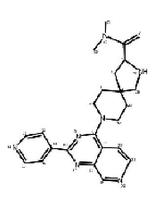 C=C(C1CC2(CCN(c3nc(-c4ccncc4)nc4cnccc34)CC2)CN1)N(C)C